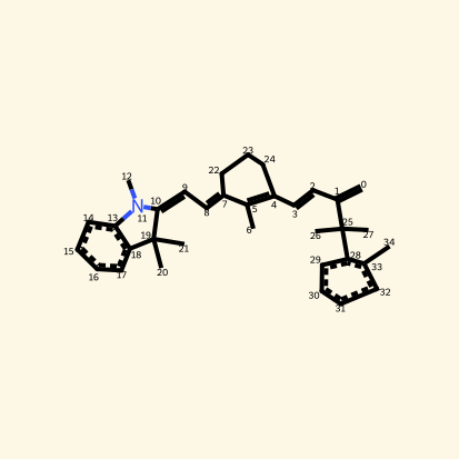 C=C(/C=C/C1=C(C)C(=C/C=C2/N(C)c3ccccc3C2(C)C)/CCC1)C(C)(C)c1ccccc1C